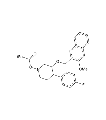 COc1cc2ccccc2cc1COC1CN(OC(=O)C(C)(C)C)CCC1c1ccc(F)cc1